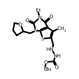 CCn1c(=O)c2c(C)c(CNNC(=O)OC(C)(C)C)sc2n(CC2CCCO2)c1=O